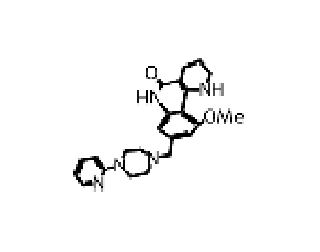 COc1cc(CN2CCN(c3ccccn3)CC2)cc2[nH]c(=O)c3c(c12)NCCC3